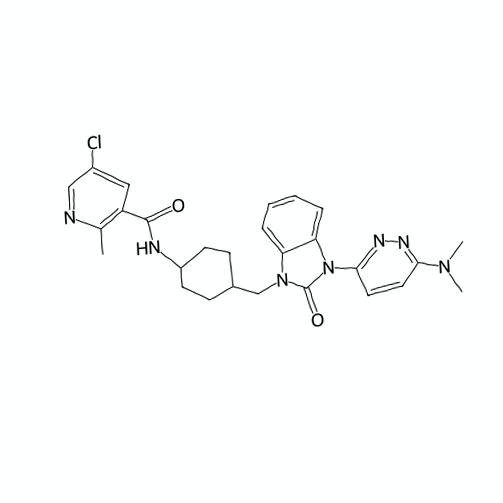 Cc1ncc(Cl)cc1C(=O)NC1CCC(Cn2c(=O)n(-c3ccc(N(C)C)nn3)c3ccccc32)CC1